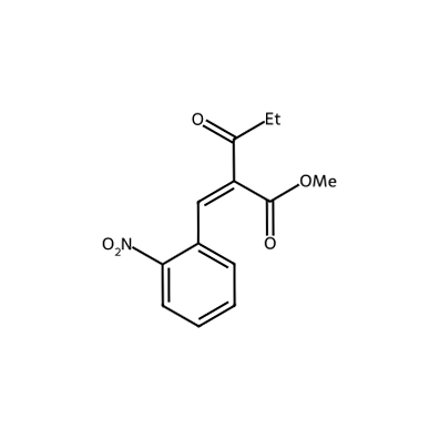 CCC(=O)C(=Cc1ccccc1[N+](=O)[O-])C(=O)OC